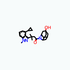 Cn1nc(C(C)(C)CC(=O)N2C3CC4CC2CC(O)(C4)C3)c2c(C3CC3)cccc21